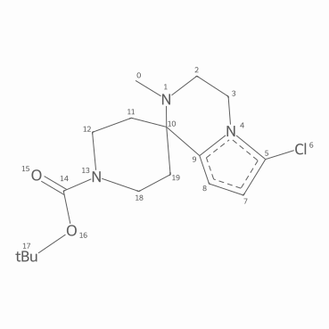 CN1CCn2c(Cl)ccc2C12CCN(C(=O)OC(C)(C)C)CC2